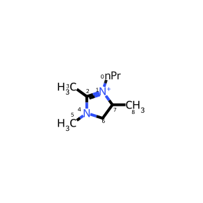 CCC[N+]1=C(C)N(C)CC1C